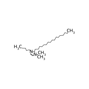 CCCCCCCCCCCCCCCCCC1N(CCCCC)C=CN1C(C)C